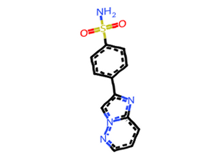 NS(=O)(=O)c1ccc(-c2cn3ncccc3n2)cc1